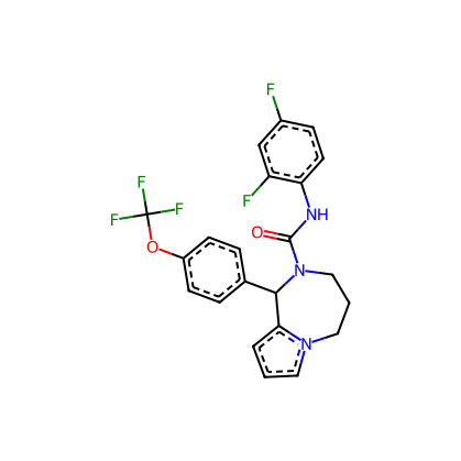 O=C(Nc1ccc(F)cc1F)N1CCCn2cccc2C1c1ccc(OC(F)(F)F)cc1